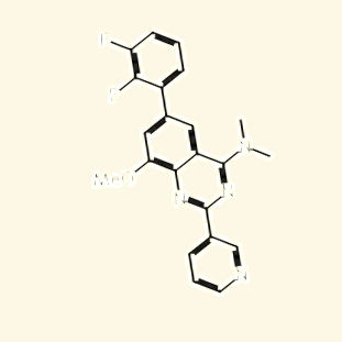 COc1cc(-c2cccc(F)c2F)cc2c(N(C)C)nc(-c3cccnc3)nc12